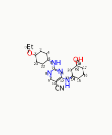 CCOC1CCC(Nc2ncc(C#N)c(N[C@@H]3CCC[C@H](O)C3)n2)CC1